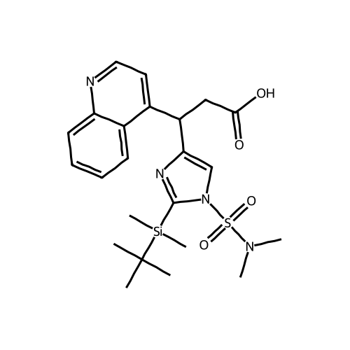 CN(C)S(=O)(=O)n1cc(C(CC(=O)O)c2ccnc3ccccc23)nc1[Si](C)(C)C(C)(C)C